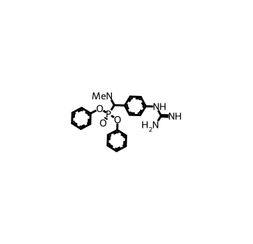 CNC(c1ccc(NC(=N)N)cc1)P(=O)(Oc1ccccc1)Oc1ccccc1